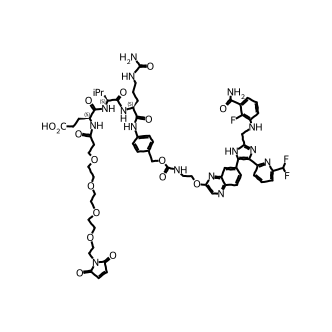 CC(C)[C@H](NC(=O)[C@H](CCC(=O)O)NC(=O)CCOCCOCCOCCOCCN1C(=O)C=CC1=O)C(=O)N[C@@H](CCCNC(N)=O)C(=O)Nc1ccc(COC(=O)NCCOc2cnc3ccc(-c4[nH]c(CNc5cccc(C(N)=O)c5F)nc4-c4cccc(C(F)F)n4)cc3n2)cc1